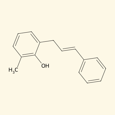 Cc1cccc(C/C=C/c2ccccc2)c1O